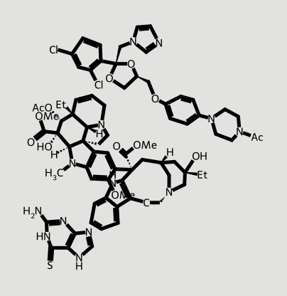 CC(=O)N1CCN(c2ccc(OC[C@H]3CO[C@](Cn4ccnc4)(c4ccc(Cl)cc4Cl)O3)cc2)CC1.CC[C@]1(O)C[C@@H]2C[N@@](CCc3c([nH]c4ccccc34)[C@@](C(=O)OC)(c3cc4c(cc3OC)N(C)[C@H]3[C@@](O)(C(=O)OC)[C@H](OC(C)=O)[C@]5(CC)C=CCN6CC[C@]43[C@@H]65)C2)C1.Nc1nc2nc[nH]c2c(=S)[nH]1